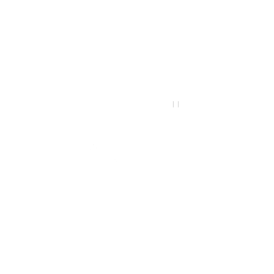 CCCCCC1OCCS1